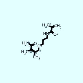 C=C(C)C(=O)NCCCOCC(C)=C(C)C(N)=O